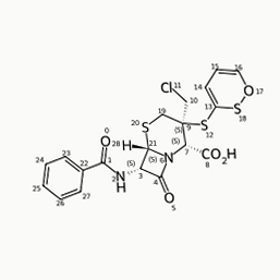 O=C(N[C@H]1C(=O)N2[C@@H](C(=O)O)[C@](CCl)(SC3=CC=COS3)CS[C@@H]12)c1ccccc1